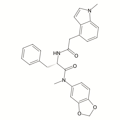 CN(C(=O)[C@H](Cc1ccccc1)NC(=O)Cc1cccc2c1ccn2C)c1ccc2c(c1)OCO2